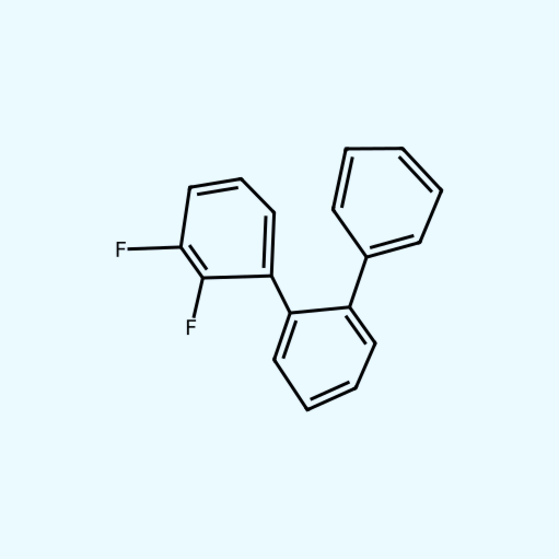 Fc1cccc(-c2ccccc2-c2ccccc2)c1F